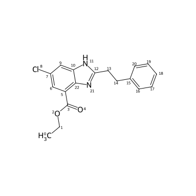 CCOC(=O)c1cc(Cl)cc2[nH]c(CCc3ccccc3)nc12